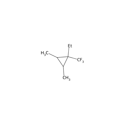 CCC1(C(F)(F)F)C(C)C1C